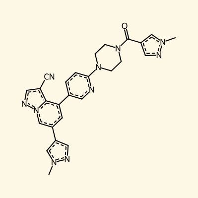 Cn1cc(C(=O)N2CCN(c3ccc(-c4cc(-c5cnn(C)c5)cn5ncc(C#N)c45)cn3)CC2)cn1